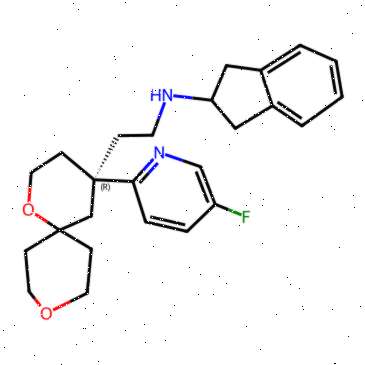 Fc1ccc([C@]2(CCNC3Cc4ccccc4C3)CCOC3(CCOCC3)C2)nc1